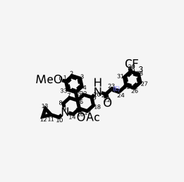 COc1cccc(C23CCN(CC4CC4)CC2(OC(C)=O)CCC(NC(=O)/C=C/c2cccc(C(F)(F)F)c2)C3)c1